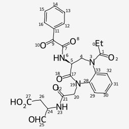 CCC(=O)N1C[C@H](NC(=O)C(=O)c2ccccc2)C(=O)N(CC(=O)NC(C=O)CC(=O)O)c2ccccc21